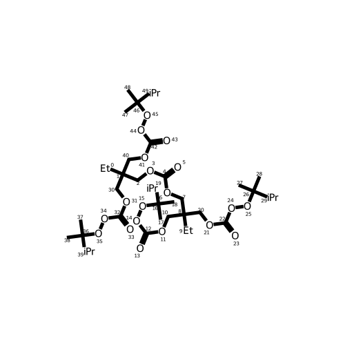 CCC(COC(=O)OCC(CC)(COC(=O)OOC(C)(C)C(C)C)COC(=O)OOC(C)(C)C(C)C)(COC(=O)OOC(C)(C)C(C)C)COC(=O)OOC(C)(C)C(C)C